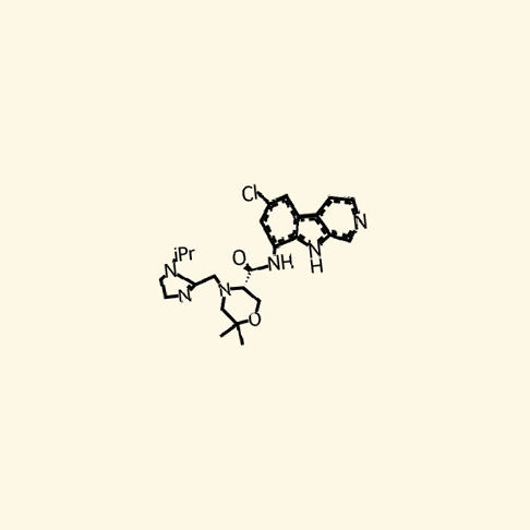 CC(C)N1CCN=C1CN1CC(C)(C)OC[C@H]1C(=O)Nc1cc(Cl)cc2c1[nH]c1cnccc12